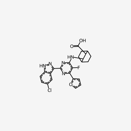 O=C(O)C1C2CCC(CC2)C1Nc1nc(-c2n[nH]c3ccc(Cl)cc23)nc(-c2ccco2)c1F